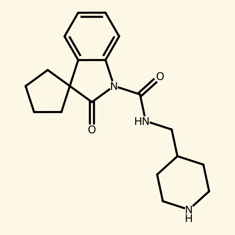 O=C(NCC1CCNCC1)N1C(=O)C2(CCCC2)c2ccccc21